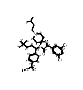 CC(C)CCN1CCC2(CC1)N=C(c1cc(Cl)cc(Cl)c1)C(=O)N2C(CCC(C)(C)C)C1=CC=C(C(=O)O)CC1